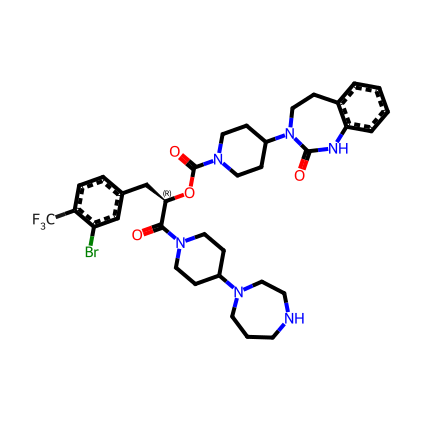 O=C(O[C@H](Cc1ccc(C(F)(F)F)c(Br)c1)C(=O)N1CCC(N2CCCNCC2)CC1)N1CCC(N2CCc3ccccc3NC2=O)CC1